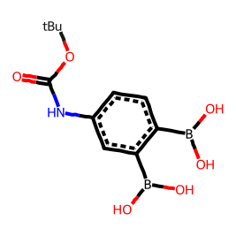 CC(C)(C)OC(=O)Nc1ccc(B(O)O)c(B(O)O)c1